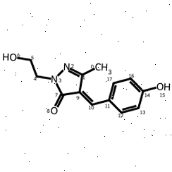 CC1=NN(CCO)C(=O)C1=Cc1ccc(O)cc1